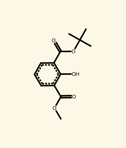 COC(=O)c1cccc(C(=O)OC(C)(C)C)c1O